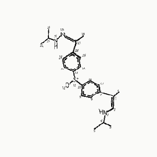 C/C(=C/NC(C)C)c1ccc([S+]([O-])c2ccc(/C(C)=N\NC(C)C)cc2)cc1